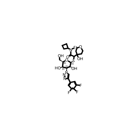 CCN(C(=O)C(S[C@@H]1O[C@H](CO)[C@H](O)[C@H](n2cc(-c3cc(F)c(F)c(F)c3)nn2)[C@H]1O)C1(O)CCOCC1)C1CCC1